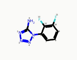 Nc1nnnn1-c1cccc(F)c1F